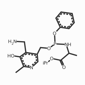 Cc1ncc(COP(NC(C)C(=O)OC(C)C)Oc2ccccc2)c(CN)c1O